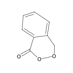 O=C1OOCc2ccccc21